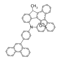 CC1c2cccc(N(c3ccccc3)c3ccc(-c4cc5ccccc5c5ccccc45)cc3)c2-c2c1c1ccccc1c1c2oc2ccccc21